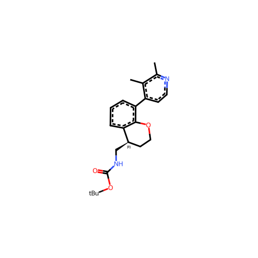 Cc1nccc(-c2cccc3c2OCC[C@H]3CNC(=O)OC(C)(C)C)c1C